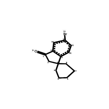 O=C1CC2(CCCCC2)c2ccc(Br)cc21